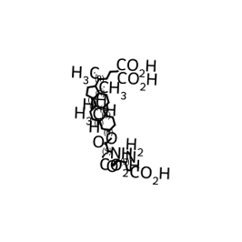 C[C@H](CCC(C(=O)O)C(=O)O)C1CC[C@H]2[C@@H]3CC[C@@H]4C[C@H](OC(=O)[C@H](CC(=O)O)NC(=O)[C@@H](N)CC(=O)O)CC[C@]4(C)[C@H]3CC[C@]12C